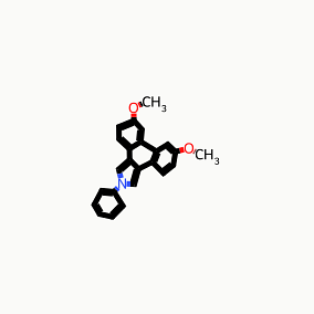 COc1ccc2c(c1)c1cc(OC)ccc1c1cn(-c3ccccc3)cc21